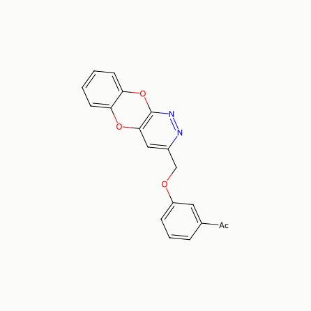 CC(=O)c1cccc(OCc2cc3c(nn2)Oc2ccccc2O3)c1